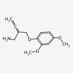 C=C=C(CN)COc1ccc(OC)cc1OC